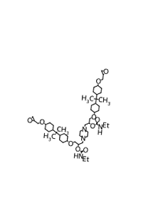 CCNC(=O)OC(COC1CCC(C(C)(C)C2CCC(OCC3CO3)CC2)CC1)CN1CCN(CC(COC2CCC(C(C)(C)C3CCC(OCC4CO4)CC3)CC2)OC(=O)NCC)CC1